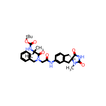 CN1C(=O)NC(=O)[C@@]12Cc1ccc(NC(=O)CN(Cc3ccccc3)C(=O)C(C)(C)NC(=O)OC(C)(C)C)cc1C2